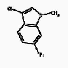 CC(C)c1ccc2c(Cl)cn(C)c2c1